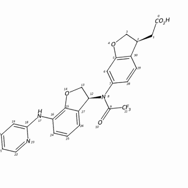 O=C(O)C[C@@H]1COc2cc(N(C(=O)C(F)(F)F)[C@@H]3COc4c(Nc5ccccn5)cccc43)ccc21